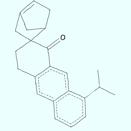 CC(C)c1cccc2cc3c(cc12)C(=O)C1(CC3)CC2=CCC1C2